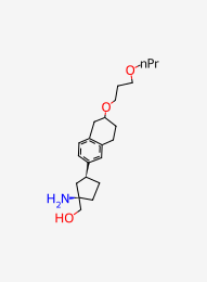 CCCOCCCOC1CCc2cc([C@H]3CC[C@](N)(CO)C3)ccc2C1